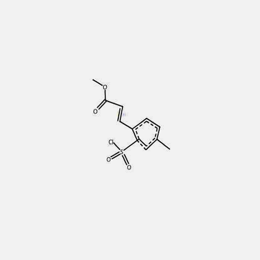 COC(=O)/C=C/c1ccc(C)cc1S(=O)(=O)Cl